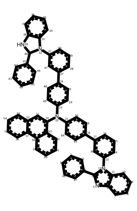 c1ccc(-c2nc3ccccc3n2-c2cccc(-c3ccc(N(c4ccc(-c5cccc(N6c7ccccc7NC6c6ccccc6)c5)cc4)c4cc5ccccc5c5ccccc45)cc3)c2)cc1